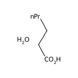 CCCCCC(=O)O.O